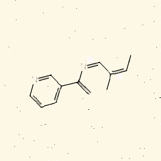 C=C(/N=C\C(C)=C/C)c1cccnc1